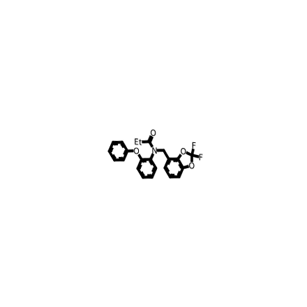 CCC(=O)N(Cc1cccc2c1OC(F)(F)O2)c1ccccc1Oc1ccccc1